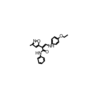 CCOc1ccc(N/C=C(\C(=O)Nc2ccccc2)c2cc(C)no2)cc1